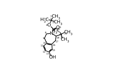 CC(C)(C)OC(=O)N1CCc2ccc(O)cc2CC1C(C)(C)C